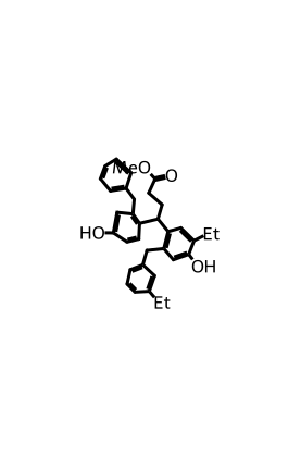 CCc1cccc(Cc2cc(O)c(CC)cc2C(CCC(=O)OC)c2ccc(O)cc2Cc2ccccc2)c1